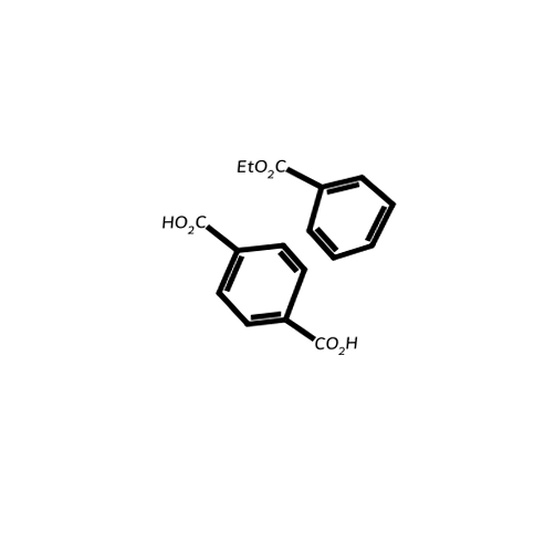 CCOC(=O)c1ccccc1.O=C(O)c1ccc(C(=O)O)cc1